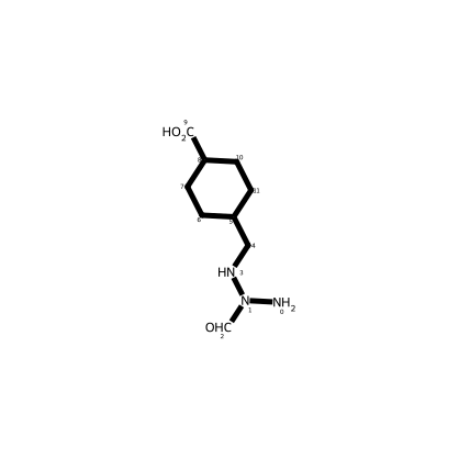 NN(C=O)NCC1CCC(C(=O)O)CC1